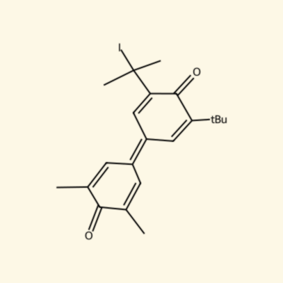 CC1=CC(=C2C=C(C(C)(C)C)C(=O)C(C(C)(C)I)=C2)C=C(C)C1=O